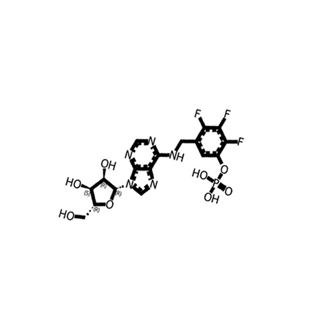 O=P(O)(O)Oc1cc(CNc2ncnc3c2ncn3[C@@H]2O[C@H](CO)[C@@H](O)[C@H]2O)c(F)c(F)c1F